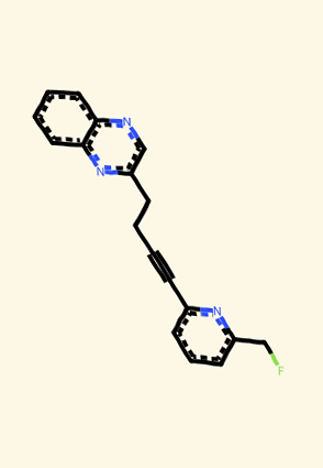 FCc1cccc(C#CCCc2cnc3ccccc3n2)n1